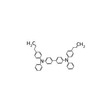 C=CCc1ccc(N(c2ccccc2)c2ccc(-c3ccc(N(c4ccccc4)c4ccc(CC=C)cc4)cc3)cc2)cc1